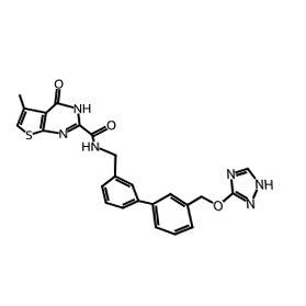 Cc1csc2nc(C(=O)NCc3cccc(-c4cccc(COc5nc[nH]n5)c4)c3)[nH]c(=O)c12